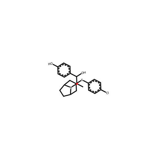 CC(C(O)c1ccc(O)cc1)N1C2CCC1CC(Sc1ccc(Cl)cc1)C2